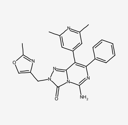 Cc1cc(-c2c(-c3ccccc3)nc(N)n3c(=O)n(Cc4coc(C)n4)nc23)cc(C)n1